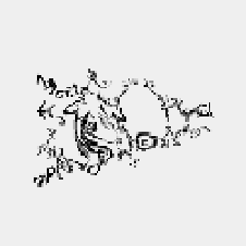 CCC[C@H](C(=O)NS(=O)(=O)c1ccc2c(c1)N(C[C@@H]1CC[C@H]1C(C)OC)CCCCc1cc(Cl)ccc1CO2)C1CC1